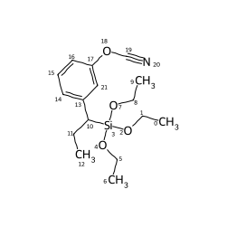 CCO[Si](OCC)(OCC)C(CC)c1cccc(OC#N)c1